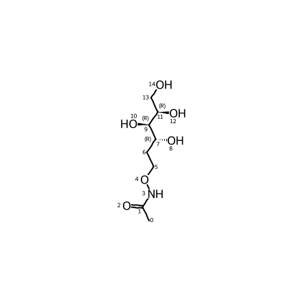 CC(=O)NOCC[C@@H](O)[C@@H](O)[C@H](O)CO